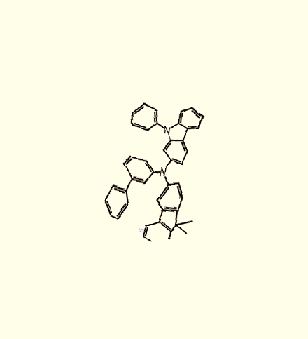 C/C=C\C1=C(C)C(C)(C)c2ccc(N(c3cccc(-c4ccccc4)c3)c3ccc4c5ccccc5n(-c5ccccc5)c4c3)cc21